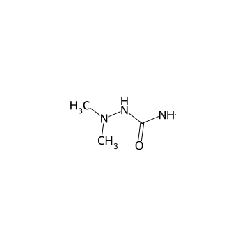 CN(C)NC([NH])=O